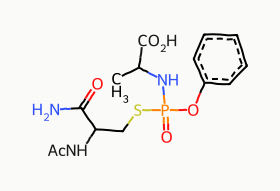 CC(=O)NC(CSP(=O)(NC(C)C(=O)O)Oc1ccccc1)C(N)=O